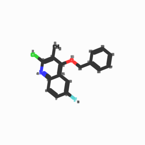 Cc1c(Cl)nc2ccc(F)cc2c1OCc1ccccc1